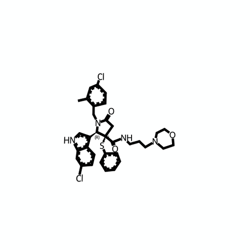 Cc1cc(Cl)ccc1CN1C(=O)C[C@](Sc2ccccc2)(C(=O)NCCCN2CCOCC2)[C@H]1c1c[nH]c2cc(Cl)ccc12